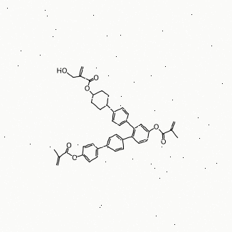 C=C(C)C(=O)Oc1ccc(-c2ccc(-c3ccc(OC(=O)C(=C)C)cc3-c3ccc(C4CCC(OC(=O)C(=C)CO)CC4)cc3)cc2)cc1